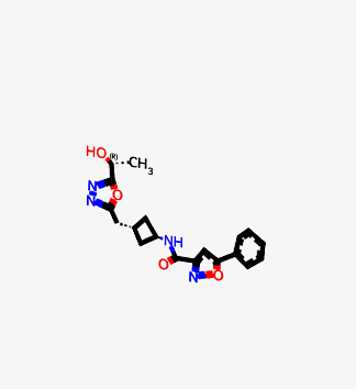 C[C@@H](O)c1nnc(C[C@H]2C[C@@H](NC(=O)c3cc(-c4ccccc4)on3)C2)o1